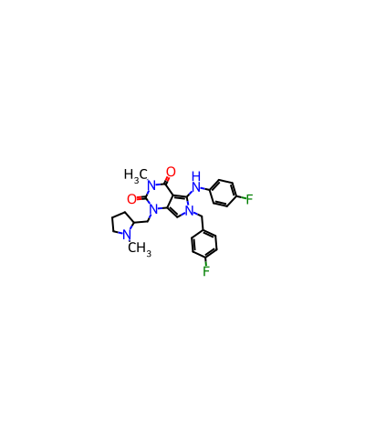 CN1CCCC1Cn1c(=O)n(C)c(=O)c2c(Nc3ccc(F)cc3)n(Cc3ccc(F)cc3)cc21